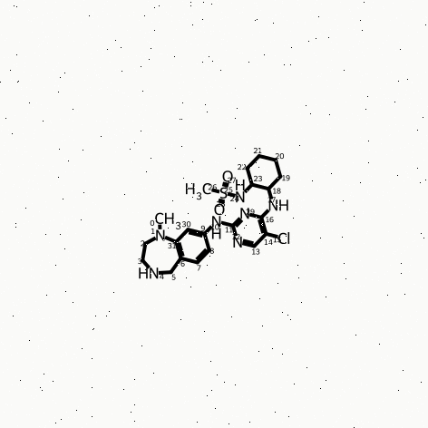 CN1CCNCc2ccc(Nc3ncc(Cl)c(NC4CCCCC4NS(C)(=O)=O)n3)cc21